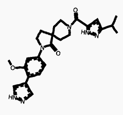 COc1cc(N2CCC3(CCN(C(=O)c4cc(C(C)C)n[nH]4)CC3)C2=O)ccc1-c1cn[nH]c1